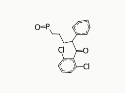 O=PCCCC(C(=O)c1c(Cl)cccc1Cl)c1ccccc1